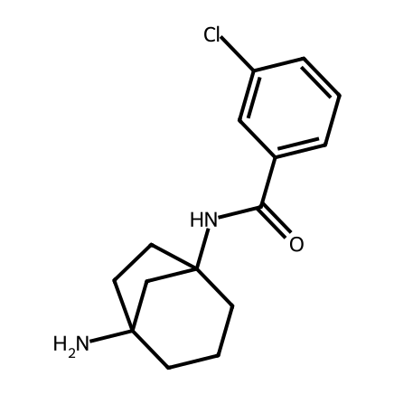 NC12CCCC(NC(=O)c3cccc(Cl)c3)(CC1)C2